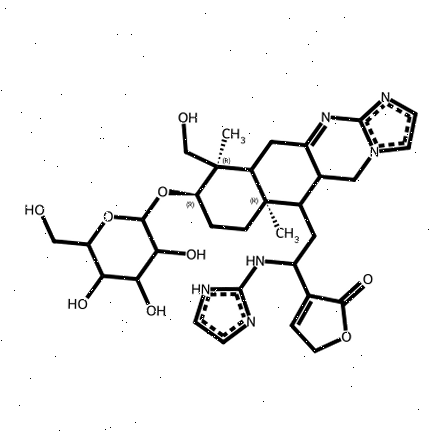 C[C@]12CC[C@@H](OC3OC(CO)C(O)C(O)C3O)[C@@](C)(CO)C1CC1=Nc3nccn3CC1C2CC(Nc1ncc[nH]1)C1=CCOC1=O